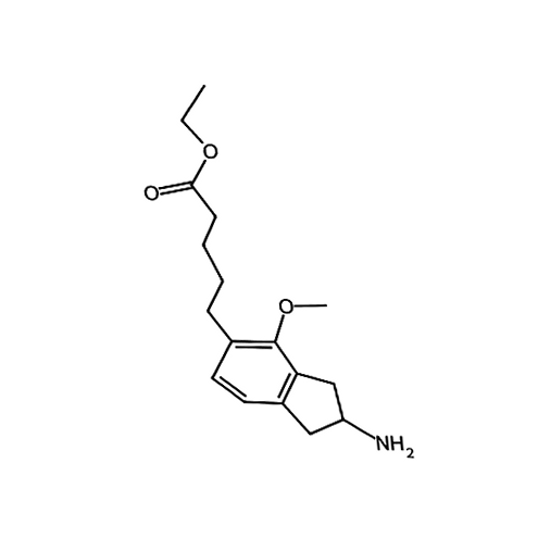 CCOC(=O)CCCCc1ccc2c(c1OC)CC(N)C2